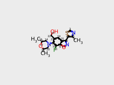 Cc1ncsc1-c1noc2c(F)c(N3C[C@@H](C)O[C@@H](C)C3)c(CO)cc12